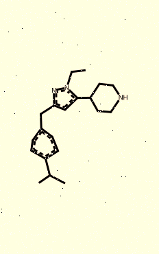 CCn1nc(Cc2ccc(C(C)C)cc2)cc1C1CCNCC1